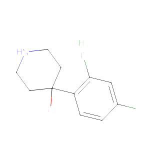 Cl.OC1(c2ccc(Cl)cc2F)CCNCC1